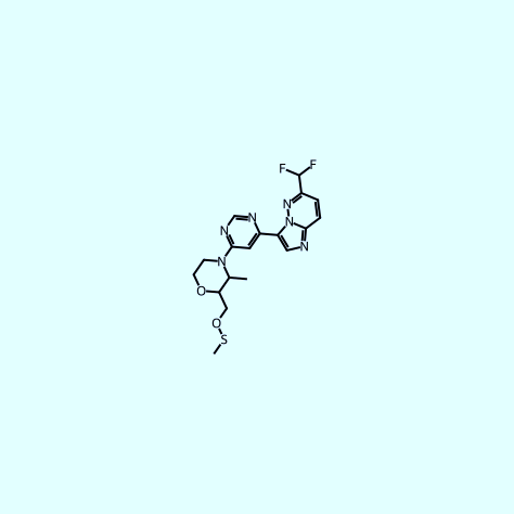 CSOCC1OCCN(c2cc(-c3cnc4ccc(C(F)F)nn34)ncn2)C1C